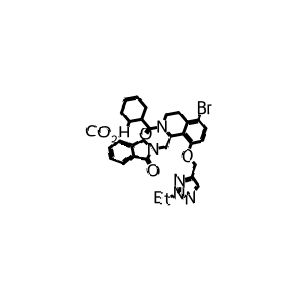 CCn1ncc(COc2ccc(Br)c3c2[C@@H](CN2Cc4ccccc4C2=O)N(C(=O)C2CCCCC2C(=O)O)CC3)n1